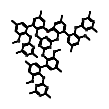 COc1cc(C)cc(-c2cc(C)cc(OC)c2Oc2nc(Oc3c(OC)cc(C)cc3-c3cc(C)cc(OC)c3Oc3nc(C)nc(C)n3)nc(Oc3c(OC)cc(C)cc3-c3cc(C)cc(OC)c3Oc3nc(C)nc(C)n3)n2)c1Oc1nc(C)nc(C)n1